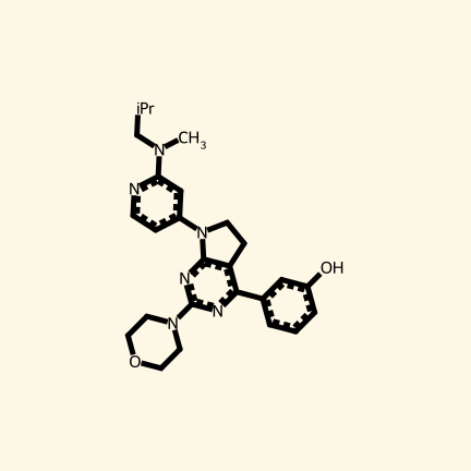 CC(C)CN(C)c1cc(N2CCc3c(-c4cccc(O)c4)nc(N4CCOCC4)nc32)ccn1